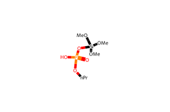 CCCOP(=O)(O)O[Si](OC)(OC)OC